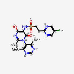 CCCCc1nc(O)c(NS(=O)(=O)CCc2ncc(F)cn2)c(=O)n1-c1c(OC)ncnc1OC